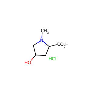 CN1CC(O)CC1C(=O)O.Cl